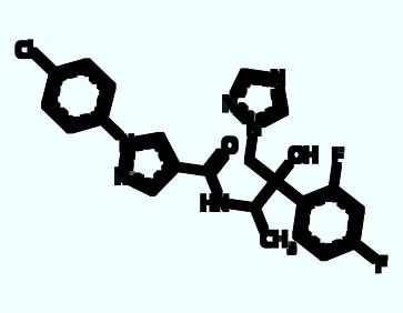 CC(NC(=O)c1cnn(-c2ccc(Cl)cc2)c1)C(O)(Cn1cncn1)c1ccc(F)cc1F